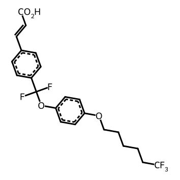 O=C(O)C=Cc1ccc(C(F)(F)Oc2ccc(OCCCCCC(F)(F)F)cc2)cc1